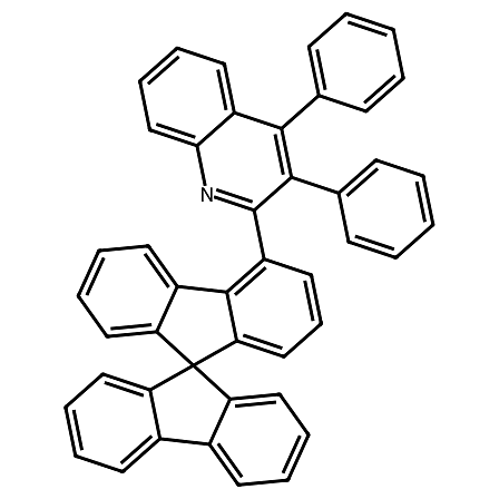 c1ccc(-c2c(-c3cccc4c3-c3ccccc3C43c4ccccc4-c4ccccc43)nc3ccccc3c2-c2ccccc2)cc1